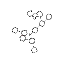 c1ccc(-c2ccc(N(c3ccc(-c4ccc(-c5ccccc5)c(-c5cccc6c5oc5ccccc56)c4)cc3)c3ccc(-c4ccccc4)cc3-c3ccccc3)cc2)cc1